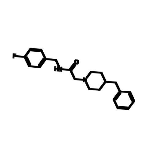 O=C(CN1CCC(Cc2ccccc2)CC1)NCc1ccc(F)cc1